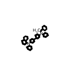 C/C(=C1\CC=CCC1)N(c1ccccc1)c1ccc(-c2ccc(N(c3ccccc3)c3cccc4c3C=CCC4)cc2)cc1